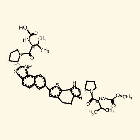 COC(=O)N[C@H](C(=O)N1CCC[C@H]1c1nc2c([nH]1)-c1sc(-c3ccc4c(ccc5nc([C@@H]6CCCN6C(=O)[C@@H](NC(=O)O)C(C)C)[nH]c54)c3)cc1CC2)C(C)C